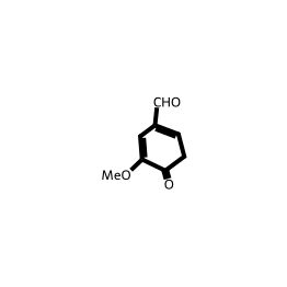 COC1=CC(C=O)=CCC1=O